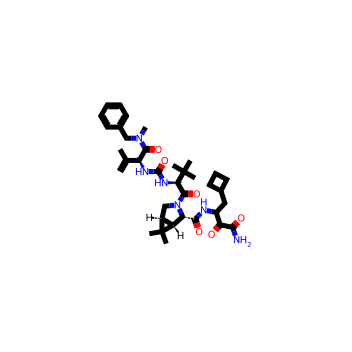 C=C(C)[C@H](NC(=O)N[C@H](C(=O)N1C[C@H]2[C@@H]([C@H]1C(=O)NC(CC1CCC1)C(=O)C(N)=O)C2(C)C)C(C)(C)C)C(=O)N(C)Cc1ccccc1